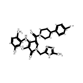 Cc1nnc(Cn2cc(C(=O)N3CCC(c4ccc(F)cc4)CC3)c(Nc3cc(Cl)ccc3C)c(Cl)c2=O)o1